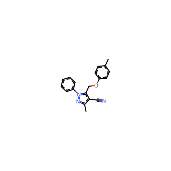 Cc1ccc(OCc2c(C#N)c(C)nn2-c2ccccc2)cc1